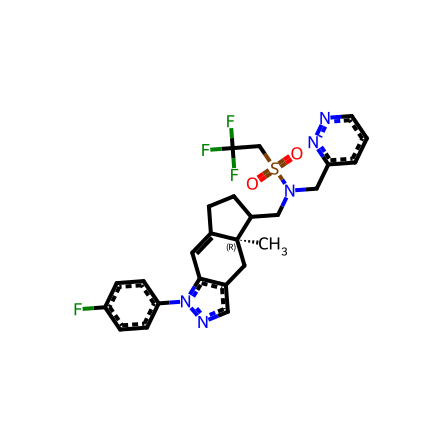 C[C@]12Cc3cnn(-c4ccc(F)cc4)c3C=C1CCC2CN(Cc1cccnn1)S(=O)(=O)CC(F)(F)F